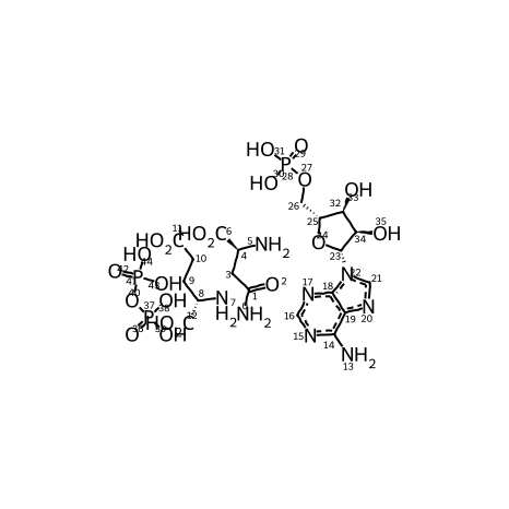 NC(=O)C[C@H](N)C(=O)O.N[C@@H](CCC(=O)O)C(=O)O.Nc1ncnc2c1ncn2[C@@H]1O[C@H](COP(=O)(O)O)[C@@H](O)[C@H]1O.O=P(O)(O)OP(=O)(O)O